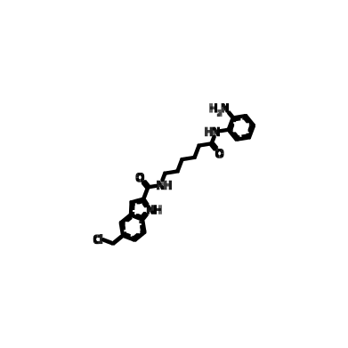 Nc1ccccc1NC(=O)CCCCCNC(=O)c1cc2cc(CCl)ccc2[nH]1